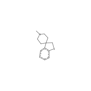 CN1CCC2(CC1)CSc1ccccc12